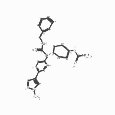 Cn1cc(-c2cnc(N(C(=O)NCc3ccccc3)[C@H]3CC[C@H](OC(N)=O)CC3)cn2)cn1